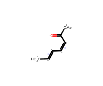 COC(=O)/C=C\C=C\C(=O)O